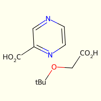 CC(C)(C)OCC(=O)O.O=C(O)c1cnccn1